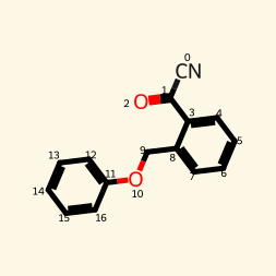 N#CC(=O)c1ccccc1COc1ccccc1